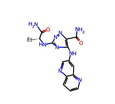 CC[C@@H](Nc1nnc(C(N)=O)c(Nc2cnc3cccnc3c2)n1)C(N)=O